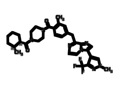 Cc1cc(Cc2nccn3c(-c4cn(C)nc4C(F)(F)F)cnc23)ccc1C(=O)N1CCN(C(=O)[C@@H]2CCCC[C@H]2C)CC1